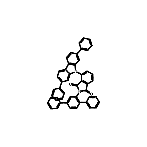 O=C1c2cccc(-n3c4cc(-c5ccccc5)ccc4c4ccc(-c5ccccc5)cc43)c2C(=O)N1c1cc(-c2ccccc2)ccc1-c1ccccc1